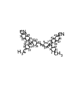 Cc1ccc(N(c2ccc(/C=C/c3ccc(N(c4ccc(C)cc4)c4ccc5cc(C#N)ccc5c4)cc3)cc2)c2ccc3cc(C#N)ccc3c2)cc1